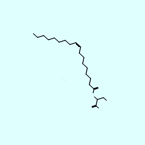 CCCCCCCC/C=C\CCCCCCCC(=O)NC(CS)C(=O)O.[NaH]